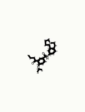 CCCC(=O)c1cc(C(=O)Nc2ccc3c(c2)C2CCCN2CC3)ccc1OC(C)C